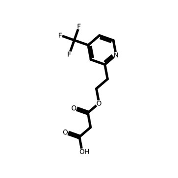 O=C(O)CC(=O)OCCc1cc(C(F)(F)F)ccn1